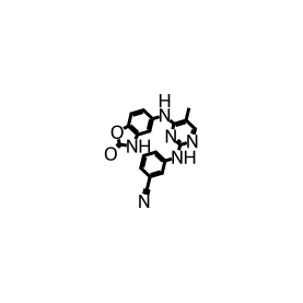 Cc1cnc(Nc2cccc(C#N)c2)nc1Nc1ccc2oc(=O)[nH]c2c1